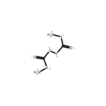 NSC(=O)SSC(=O)SN